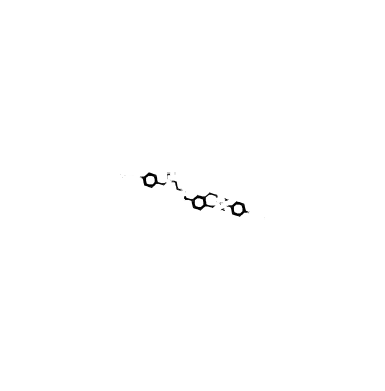 COc1ccc(CN(CCNC(=O)c2ccc3c(c2)CCN(S(=O)(=O)c2ccc(C)cc2)C3)C(C)(C)C)cc1